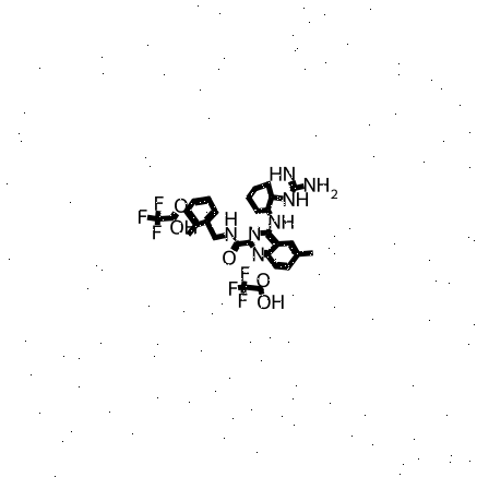 Cc1ccc2nc(C(=O)NCc3ccccc3C)nc(NC3CCCCC3NC(=N)N)c2c1.O=C(O)C(F)(F)F.O=C(O)C(F)(F)F